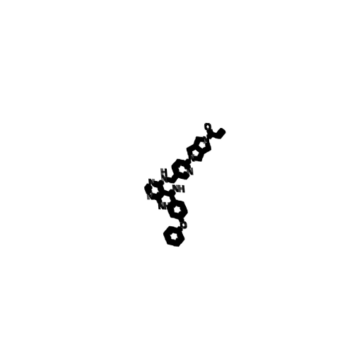 C=CC(=O)N1CC2CN(c3ccc(CNc4ncnc(N)c4C(=N)c4ccc(Oc5ccccc5)cc4)cn3)CC2C1